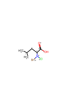 CC(C)CC(C(=O)O)N(Cl)Br